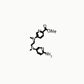 COC(=O)c1ccc(N(C)CCN(C)c2ccc(N)nc2)cn1